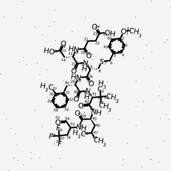 COc1ccc(CSC[C@@H](NC(=O)[C@H](CC(=O)O)NC(=O)CCC(=O)O)C(=O)N[C@@H](Cc2ccccc2C)C(=O)N[C@H](C(=O)N[C@@H](CC(C)C)C(=O)NC(C=O)CC(F)(F)F)C(C)(C)C)cc1